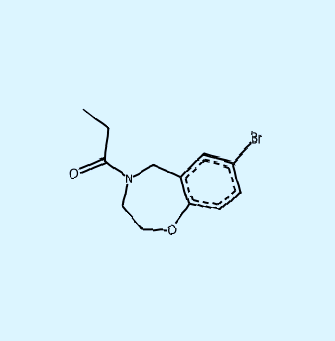 CCC(=O)N1CCOc2ccc(Br)cc2C1